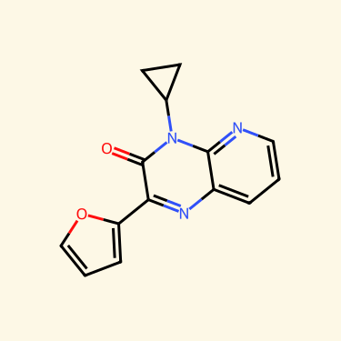 O=c1c(-c2ccco2)nc2cccnc2n1C1CC1